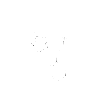 Cc1noc(C(CN)c2ccccc2)n1